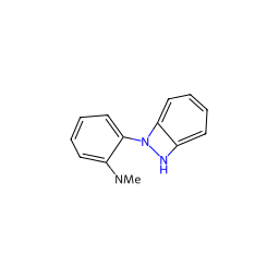 CNc1ccccc1-n1[nH]c2ccccc21